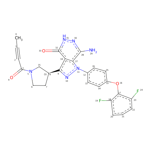 CC#CC(=O)N1CC[C@H](c2nn(-c3ccc(Oc4c(F)cccc4F)cc3)c3c(N)n[nH]c(=O)c23)C1